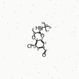 CC(Oc1ccc(C=O)cc1Cl)C(=O)NC(C)(C)C